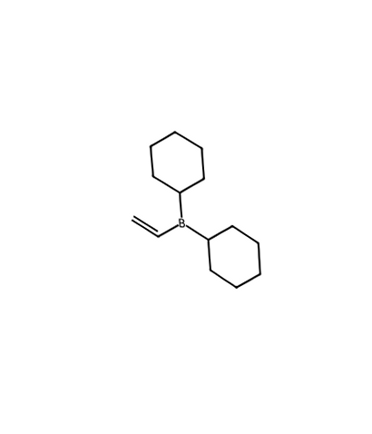 C=CB(C1CCCCC1)C1CCCCC1